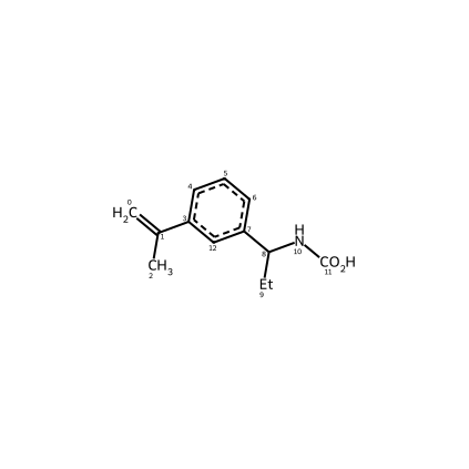 C=C(C)c1cccc(C(CC)NC(=O)O)c1